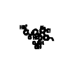 CCc1cccc(-c2c(Cl)cncc2[C@](O)(CCCNC(=O)O)[C@@H]2CCCN(C(=O)[C@@H]3CC[C@H](NC)C3)C2)c1